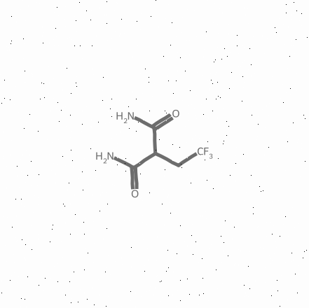 NC(=O)C(CC(F)(F)F)C(N)=O